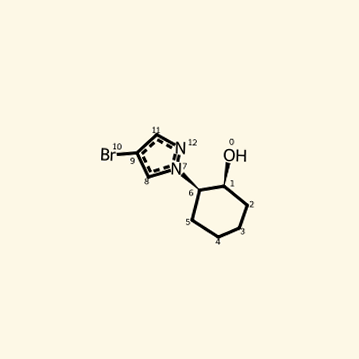 O[C@H]1CCCC[C@H]1n1cc(Br)cn1